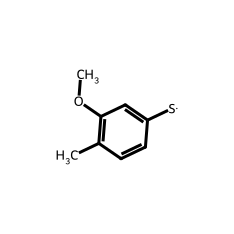 COc1cc([S])ccc1C